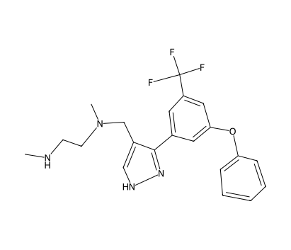 CNCCN(C)Cc1c[nH]nc1-c1cc(Oc2ccccc2)cc(C(F)(F)F)c1